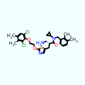 Cc1cccc(CN(C(=O)[C@@H](CN)Cc2cnc(OCCOc3c(Cl)cc(C)c(C)c3Cl)s2)C2CC2)c1C